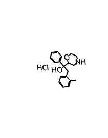 Cc1ccccc1CC(O)(c1ccccc1)C1CNCCO1.Cl